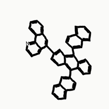 c1ccc2cc(-c3c4ccccc4c(-c4ccc5ccccc5c4)c4cc(-c5cc6ccccc6c6ncccc56)ccc34)ccc2c1